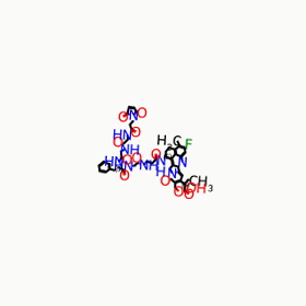 CC[C@@]1(O)C(=O)OCc2c1cc1n(c2=O)Cc2c-1nc1cc(F)c(C)c3c1c2[C@@H](NC(=O)CCNC(=O)CNC(=O)[C@H](Cc1ccccc1)NC(=O)CNC(=O)CNC(=O)CCN1C(=O)C=CC1=O)CC3